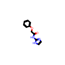 O=C(COc1ccccc1)Nc1ncc[nH]1